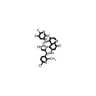 Cc1nc(Cl)ccc1[C@H](Nc1cc(Cl)c2ncc(C#N)c(Nc3cnc(F)c(F)c3)c2c1)C1=CNNN1